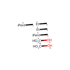 CCC.CCC.CCCC(C)C.CCCC(C)C.O=C(O)O.O=C(O)O